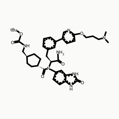 CN(C)CCCOc1ccc(-c2cccc(C[C@@H](C(N)=O)N(c3ccc4[nH]c(=O)[nH]c4c3)C(=O)[C@H]3CC[C@H](CNC(=O)OC(C)(C)C)CC3)c2)cn1